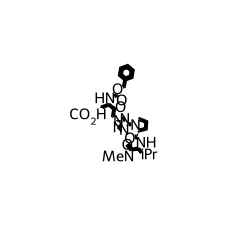 CNC(=O)C(NC(=O)[C@H]1CCCN1c1nnn(CC(=O)C(CC(=O)O)NC(=O)OCc2ccccc2)n1)C(C)C